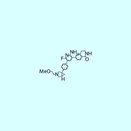 COCCN1C[C@H]2C[C@@]2(c2ccc(-c3cc(-c4ccc5c(c4)CCNC5=O)c(N)nc3F)cc2)C1